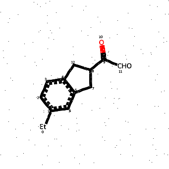 CCc1ccc2c(c1)CC(C(=O)C=O)C2